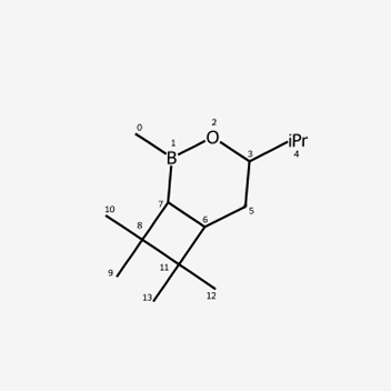 CB1OC(C(C)C)CC2C1C(C)(C)C2(C)C